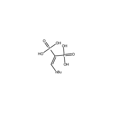 CCCCC=C(P(=O)(O)O)P(=O)(O)O